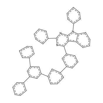 c1ccc(-c2cc(-c3ccccc3)cc(-c3cccc(-c4cccc(-c5nc(-c6ccccc6)nc6c5c5ccccc5n6-c5ccccc5)c4)c3)c2)cc1